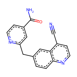 N#Cc1ccnc2ccc(Cc3cc(C(N)=O)ccn3)cc12